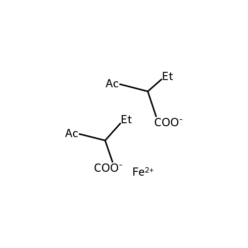 CCC(C(C)=O)C(=O)[O-].CCC(C(C)=O)C(=O)[O-].[Fe+2]